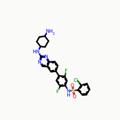 NC1CCC(Nc2ncc3cc(-c4cc(F)c(NS(=O)(=O)c5ccccc5Cl)cc4F)ccc3n2)CC1